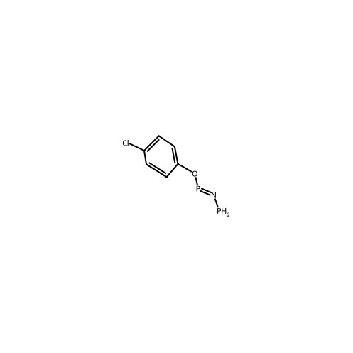 PN=POc1ccc(Cl)cc1